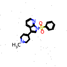 CN1CC=C(c2cn(S(=O)(=O)c3ccccc3)c3ncccc23)CC1